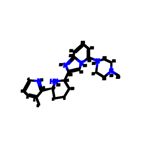 Cc1cccnc1[C@@H]1CCC[C@H](c2cn3c(N4CCN(C)CC4)cccc3n2)N1